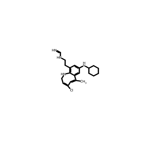 C/C1=C\C(Cl)=C/CNc2c(CCNC=N)cc(NC3CCCCC3)cc21